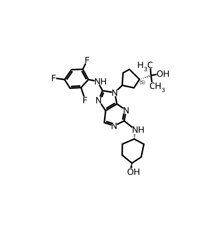 CC(C)(O)[C@H]1CCC(n2c(Nc3c(F)cc(F)cc3F)nc3cnc(N[C@H]4CC[C@H](O)CC4)nc32)C1